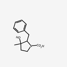 CC1(O)CCN(C(=O)O)C1Cc1ccccc1